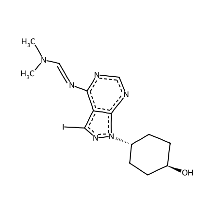 CN(C)C=Nc1ncnc2c1c(I)nn2[C@H]1CC[C@H](O)CC1